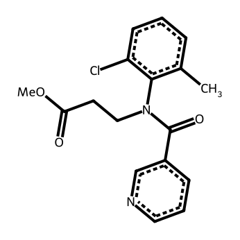 COC(=O)CCN(C(=O)c1cccnc1)c1c(C)cccc1Cl